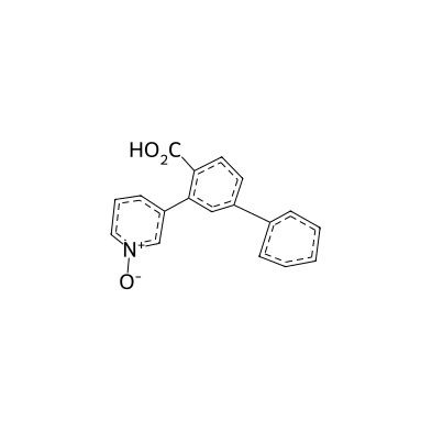 O=C(O)c1ccc(-c2ccccc2)cc1-c1ccc[n+]([O-])c1